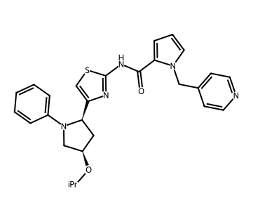 CC(C)O[C@@H]1C[C@H](c2csc(NC(=O)c3cccn3Cc3ccncc3)n2)N(c2ccccc2)C1